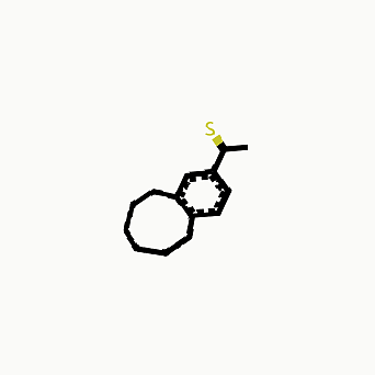 CC(=S)c1ccc2c(c1)CCCCCC2